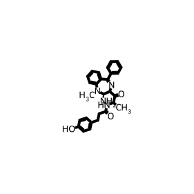 CC(NC(=O)CCc1ccc(O)cc1)C(=O)C1N=C(c2ccccc2)c2ccccc2N(C)[C@@H]1N